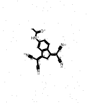 CC(=O)Nc1ccc2c(c1)C(=C(C#N)C#N)CC2=C(C#N)C#N